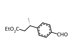 CCOC(=O)C[C@H](C)c1ccc(C=O)cc1